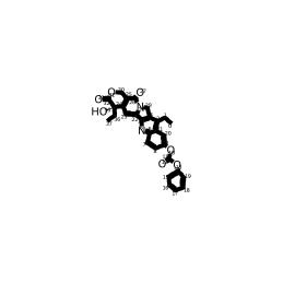 CCc1c2c(nc3ccc(OC(=O)Oc4ccccc4)cc13)-c1cc3c(c(=O)n1C2)COC(=O)[C@]3(O)CC